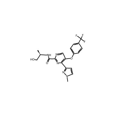 C[C@H](CO)NC(=O)c1ncc(Oc2ccc(C(F)(F)F)cc2)c(-c2ccn(C)n2)n1